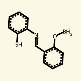 BOc1ccccc1/C=N/c1ccccc1S